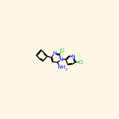 NC1C=C(c2ccccc2)N=C(Cl)N1c1ccc(Cl)nc1